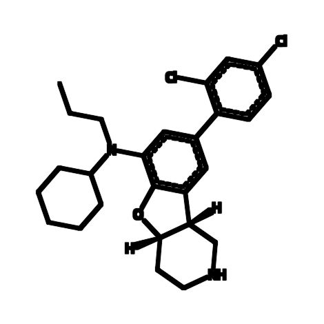 CCCN(c1cc(-c2ccc(Cl)cc2Cl)cc2c1O[C@H]1CCNC[C@@H]21)C1CCCCC1